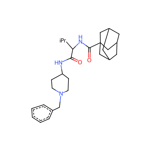 CC(C)C(NC(=O)C12CC3CC(CC(C3)C1)C2)C(=O)NC1CCN(Cc2ccccc2)CC1